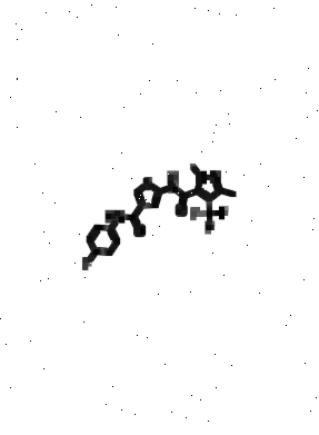 Cc1nn(C)c(C(=O)Nc2cc(C(=O)Nc3ccc(F)cc3)cs2)c1C(F)(F)F